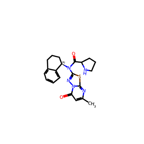 Cc1cc(=O)n2nc(N(C(=O)C3CCCN3)[C@@H]3CCCc4ccccc43)sc2n1